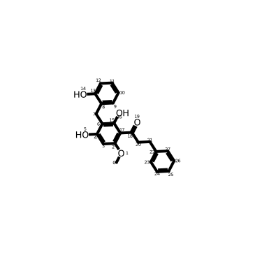 COc1cc(O)c(Cc2ccccc2O)c(O)c1C(=O)CCc1ccccc1